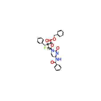 C[C@@]1(F)[C@H](n2ccc(NC(=O)c3ccccc3)nc2=O)O[C@H](COCc2ccccc2)[C@]1(O)Cc1ccccc1